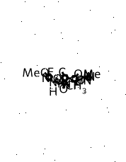 COc1ccc(NC(=O)Cn2c(=O)n(C)c3c(-c4cc(F)c(OCc5nnc[nH]5)c(OC)c4)cc(C(F)(F)F)cc32)cn1